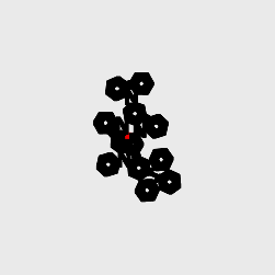 c1ccc(-n2c3ccc(-n4c5ccccc5c5cc(-n6c7ccccc7c7ccccc76)cc(-n6c7ccccc7c7ccccc76)c54)cc3c3cc(S(c4ccccc4)(c4ccccc4)c4ccccc4)ccc32)cc1